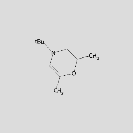 CC1=CN(C(C)(C)C)CC(C)O1